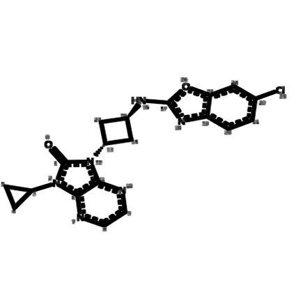 O=c1n(C2CC2)c2nccnc2n1[C@H]1C[C@H](Nc2nc3ccc(Cl)cc3o2)C1